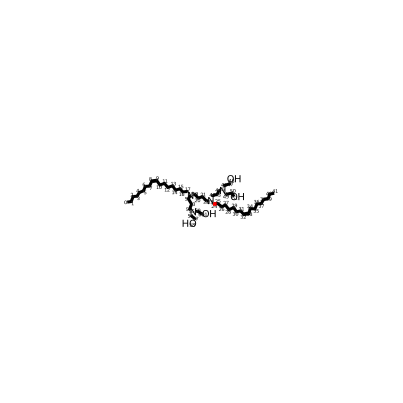 CCCCCCCC/C=C\CCCCCCCCN(CCCCN(CCCCCCCC/C=C\CCCCCCCC)CCCN(CCO)CCO)CCCN(CCO)CCO